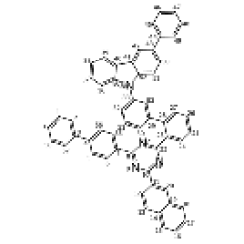 c1ccc(-c2ccc(-c3nc(-c4ccc5ccccc5c4)nc(-c4ccccc4-c4cccc(-n5c6ccccc6c6cc(-c7ccccc7)ccc65)c4)n3)cc2)cc1